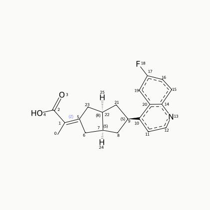 C/C(C(=O)O)=C1\C[C@@H]2C[C@H](c3ccnc4ccc(F)cc34)C[C@@H]2C1